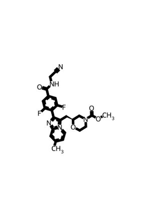 COC(=O)N1CCO[C@@H](Cc2c(-c3c(F)cc(C(=O)NCC#N)cc3F)nc3cc(C)ccn23)C1